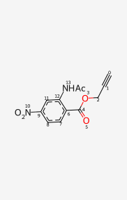 C#CCOC(=O)c1ccc([N+](=O)[O-])cc1NC(C)=O